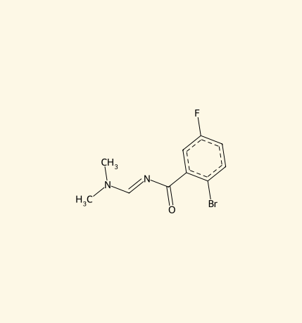 CN(C)C=NC(=O)c1cc(F)ccc1Br